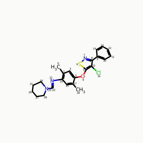 Cc1cc(Oc2snc(-c3ccccc3)c2Cl)c(C)cc1N=CN1CCCCC1